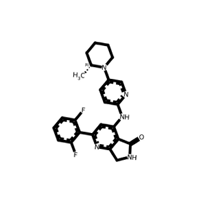 C[C@@H]1CCCCN1c1ccc(Nc2cc(-c3c(F)cccc3F)nc3c2C(=O)NC3)nc1